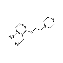 NCc1c(N)cccc1OCCN1CCOCC1